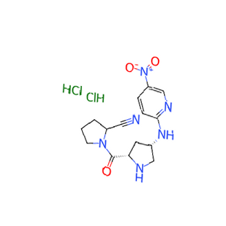 Cl.Cl.N#CC1CCCN1C(=O)[C@@H]1C[C@H](Nc2ccc([N+](=O)[O-])cn2)CN1